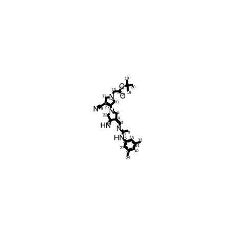 C/C(=N\C=C1\CN(C2=C(C#N)CN(CC(=O)OC(C)(C)C)C2)CC1=N)Nc1cc(C)cc(C)c1